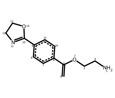 C=C(OCCN)c1ccc(C2=NCCO2)cc1